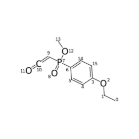 CCOc1ccc(P(=O)(C=C=O)OC)cc1